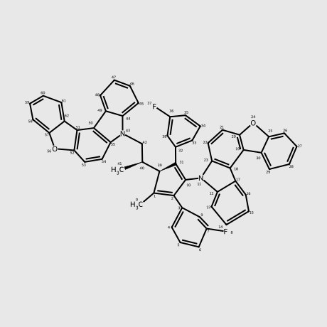 CC1=C(c2cccc(F)c2)C(n2c3ccccc3c3c4c(ccc32)oc2ccccc24)=C(c2cccc(F)c2)[C@@H]1[C@@H](C)Cn1c2ccccc2c2c3c(ccc21)oc1ccccc13